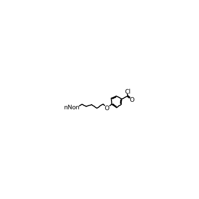 CCCCCCCCCCCCCCOc1ccc(C(=O)Cl)cc1